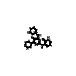 O=c1[nH]cccc1Nc1nc(N[C@@H]2CCCNC2)c(F)c(N2CCOCC2)n1